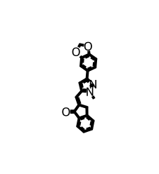 Cn1nc(-c2ccc3c(c2)OCO3)cc1/C=C1\Cc2ccccc2C1=O